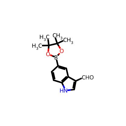 CC1(C)OB(c2ccc3[nH]cc(C=O)c3c2)OC1(C)C